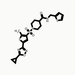 Cc1sc(-c2noc(C3CC3)n2)cc1S(=O)(=O)N1CCC(C(=O)NCc2cccs2)CC1